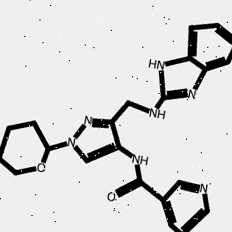 O=C(Nc1cn(C2CCCCO2)nc1CNc1nc2ccccc2[nH]1)c1cccnc1